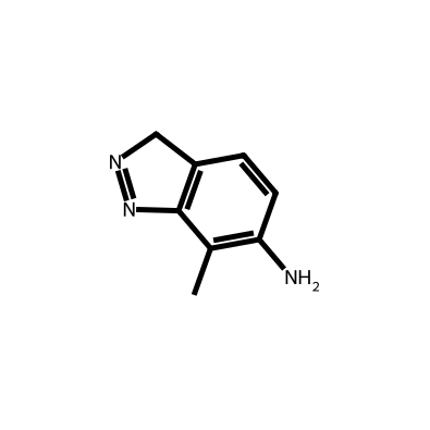 Cc1c(N)ccc2c1N=NC2